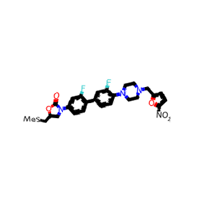 CSCC1CN(c2ccc(-c3ccc(N4CCN(Cc5ccc([N+](=O)[O-])o5)CC4)c(F)c3)c(F)c2)C(=O)O1